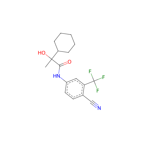 CC(O)(C(=O)Nc1ccc(C#N)c(C(F)(F)F)c1)C1CCCCC1